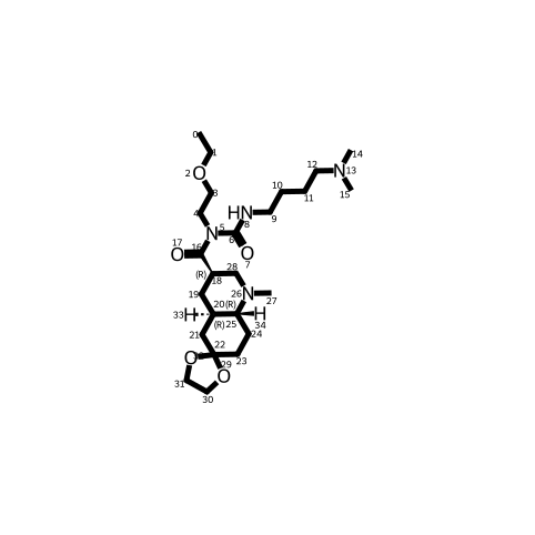 CCOCCN(C(=O)NCCCCN(C)C)C(=O)[C@@H]1C[C@@H]2CC3(CC[C@H]2N(C)C1)OCCO3